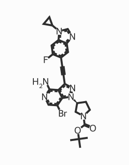 CC(C)(C)OC(=O)N1CC[C@H](n2nc(C#Cc3cc4ncn(C5CC5)c4cc3F)c3c(N)ncc(Br)c32)C1